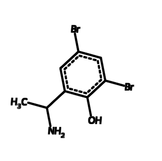 CC(N)c1cc(Br)cc(Br)c1O